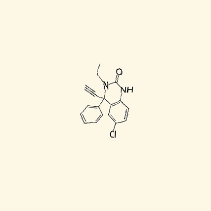 C#CC1(c2ccccc2)c2cc(Cl)ccc2NC(=O)N1CC